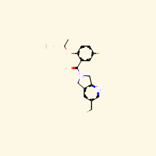 C[C@H](Oc1ccc(S)cc1C(=O)N1Cc2cc(CF)cnc2C1)C(F)(F)F